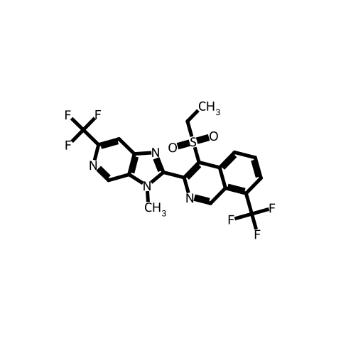 CCS(=O)(=O)c1c(-c2nc3cc(C(F)(F)F)ncc3n2C)ncc2c(C(F)(F)F)cccc12